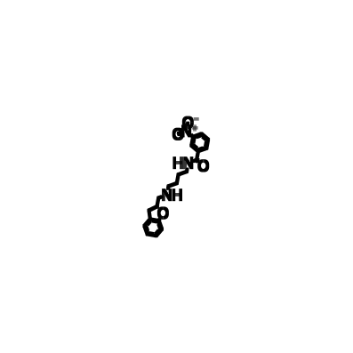 O=C(NCCCCNCC1Cc2ccccc2O1)c1cccc([N+](=O)[O-])c1